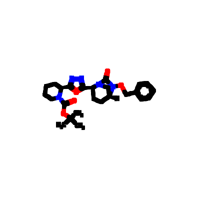 CC(C)(C)OC(=O)N1CCCC[C@H]1c1nnc([C@@H]2CC[C@@H]3CN2C(=O)N3OCc2ccccc2)o1